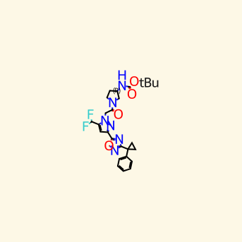 CC(C)(C)OC(=O)N[C@@H]1CCN(C(=O)Cn2nc(-c3nc(C4(c5ccccc5)CC4)no3)cc2C(F)F)C1